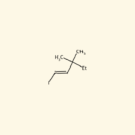 CCC(C)(C)C=CI